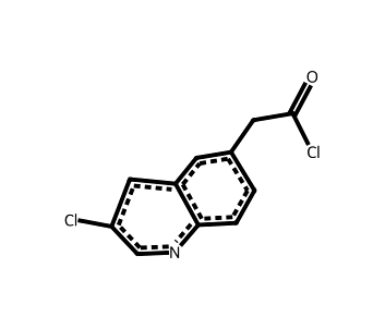 O=C(Cl)Cc1ccc2ncc(Cl)cc2c1